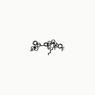 CCCCCCCN(Cc1ccc(F)cc1F)C(=O)COc1ccc(CCOc2ccccc2C(=O)OCC)cc1OC